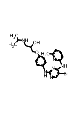 Cc1cccc(Nc2nc(Nc3ccc(OCC(O)CNC(C)C)cc3)ncc2Br)n1